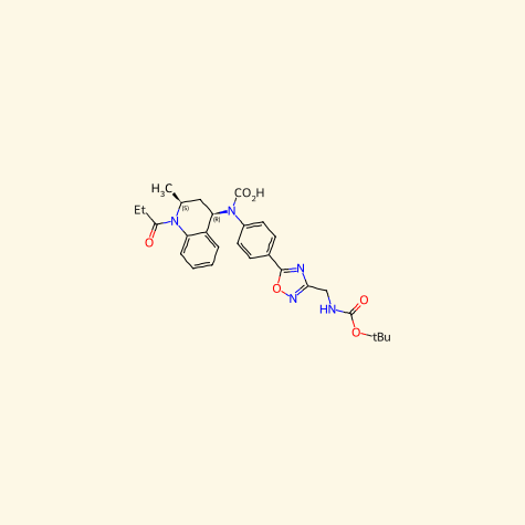 CCC(=O)N1c2ccccc2[C@H](N(C(=O)O)c2ccc(-c3nc(CNC(=O)OC(C)(C)C)no3)cc2)C[C@@H]1C